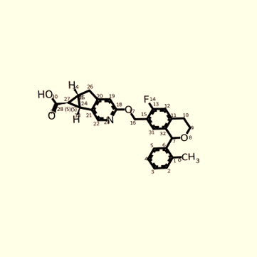 Cc1ccccc1C1OCCc2cc(F)c(COc3cc4c(cn3)[C@H]3[C@@H](C4)[C@@H]3C(=O)O)cc21